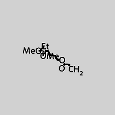 C=CC(=O)OCCCC[Si](CC)(OC)OC